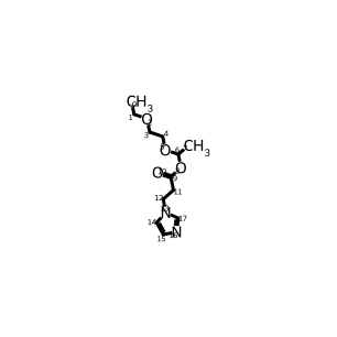 CCOCCOC(C)OC(=O)CCn1ccnc1